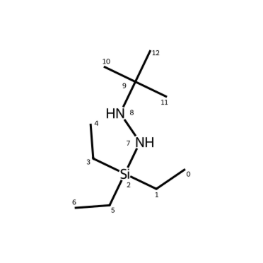 CC[Si](CC)(CC)NNC(C)(C)C